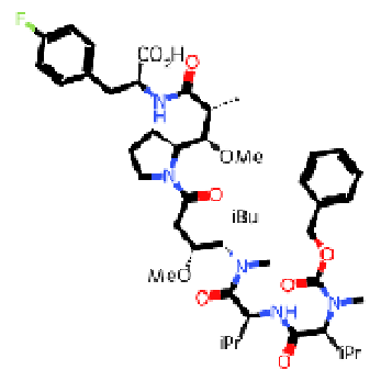 CC[C@H](C)[C@@H]([C@@H](CC(=O)N1CCC[C@H]1[C@H](OC)[C@@H](C)C(=O)N[C@@H](Cc1ccc(F)cc1)C(=O)O)OC)N(C)C(=O)[C@@H](NC(=O)[C@H](C(C)C)N(C)C(=O)OCc1ccccc1)C(C)C